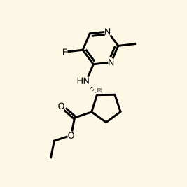 CCOC(=O)C1CCC[C@H]1Nc1nc(C)ncc1F